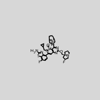 Nc1nc2c(C3=Cc4nc(OC[C@@]56CCCN5C[C@H](F)C6)nc(N5CC6CCC(C5)N6)c4[S+]([O-])N3CC3CC3)ccc(F)c2s1